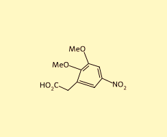 COc1cc([N+](=O)[O-])cc(CC(=O)O)c1OC